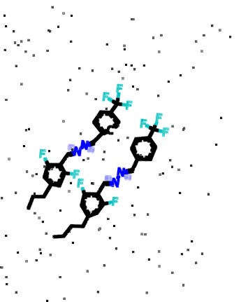 CCCCc1cc(F)c(/C=N/N=C/c2ccc(C(F)(F)F)cc2)c(F)c1.CCCc1cc(F)c(/C=N/N=C/c2ccc(C(F)(F)F)cc2)c(F)c1